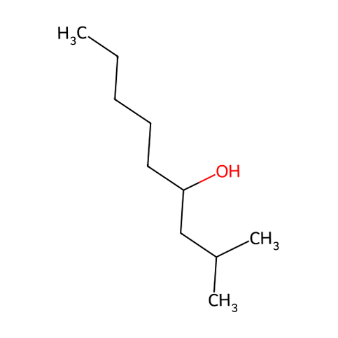 CCCCCC(O)CC(C)C